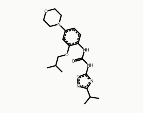 CC(C)COc1cc(N2CCOCC2)ccc1NC(=O)Nc1nc(C(C)C)ns1